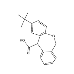 CC(C)(C)c1ccc2c(c1)C(C(=O)O)c1ccccc1CO2